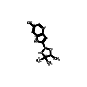 CC1OB(c2cc3ncc(Cl)cc3[nH]2)OC1(C)C